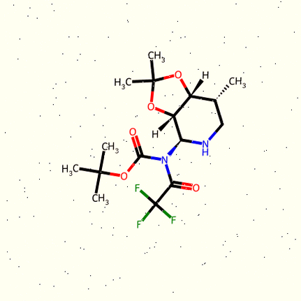 C[C@@H]1CN[C@@H](N(C(=O)OC(C)(C)C)C(=O)C(F)(F)F)[C@@H]2OC(C)(C)O[C@@H]21